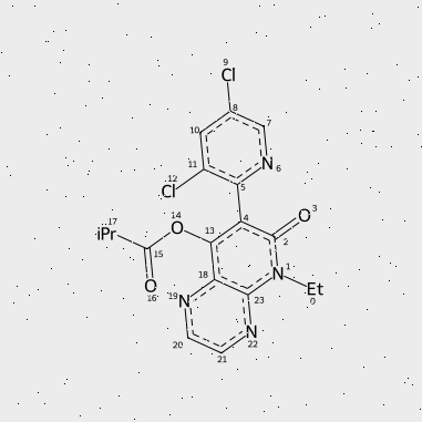 CCn1c(=O)c(-c2ncc(Cl)cc2Cl)c(OC(=O)C(C)C)c2nccnc21